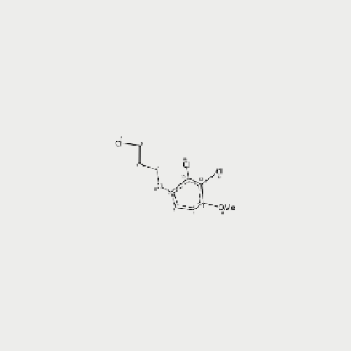 COc1ccc(OCCCCl)c(Cl)c1Cl